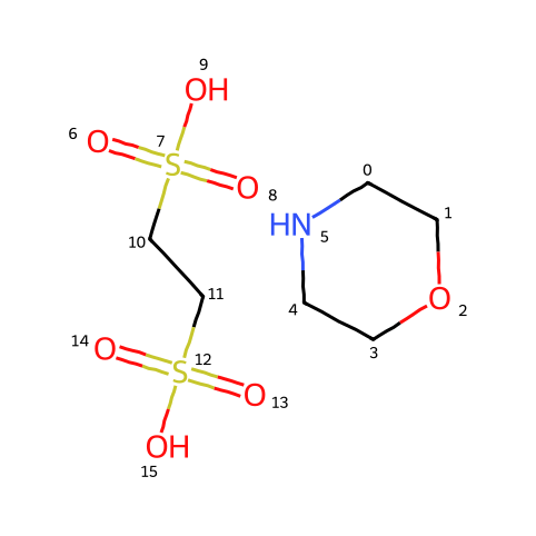 C1COCCN1.O=S(=O)(O)CCS(=O)(=O)O